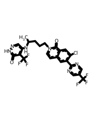 CC(CCCn1ccc2cc(-c3ncc(C(F)(F)F)cn3)c(Cl)cc2c1=O)Nc1cn[nH]c(=O)c1C(F)(F)F